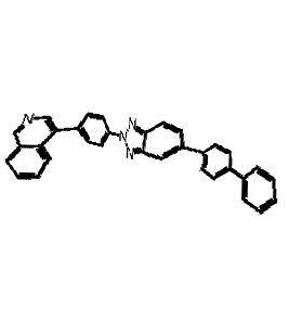 c1ccc(-c2ccc(-c3ccc4nn(-c5ccc(-c6cncc7ccccc67)cc5)nc4c3)cc2)cc1